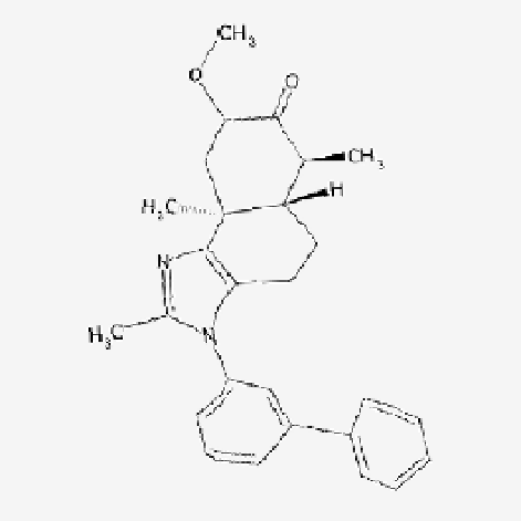 COC1C[C@]2(C)c3nc(C)n(-c4cccc(-c5ccccc5)c4)c3CC[C@H]2[C@H](C)C1=O